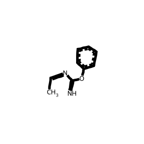 C/C=N\C(=N)Oc1ccccc1